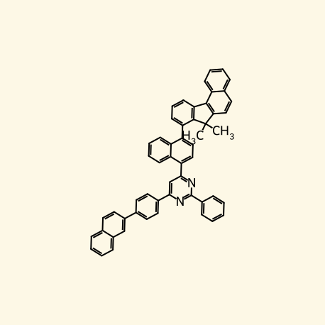 CC1(C)c2ccc3ccccc3c2-c2cccc(-c3ccc(-c4cc(-c5ccc(-c6ccc7ccccc7c6)cc5)nc(-c5ccccc5)n4)c4ccccc34)c21